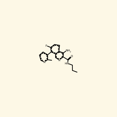 CCCNC(=O)c1ncc2c(-c3cccnc3C)c(F)ccc2c1N